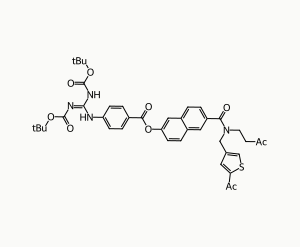 CC(=O)CCN(Cc1csc(C(C)=O)c1)C(=O)c1ccc2cc(OC(=O)c3ccc(N/C(=N\C(=O)OC(C)(C)C)NC(=O)OC(C)(C)C)cc3)ccc2c1